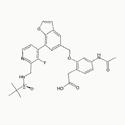 CC(=O)Nc1ccc(CC(=O)O)c(OCc2cc(-c3ccnc(CN[S@@+]([O-])C(C)(C)C)c3F)c3occc3c2)c1